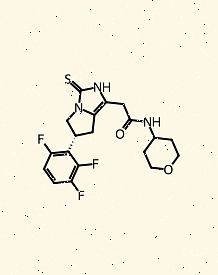 O=C(Cc1[nH]c(=S)n2c1C[C@H](c1c(F)ccc(F)c1F)C2)NC1CCOCC1